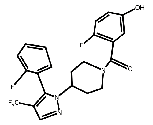 O=C(c1cc(O)ccc1F)N1CCC(n2ncc(C(F)(F)F)c2-c2ccccc2F)CC1